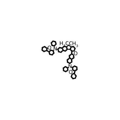 CC1(C)c2cc3cc(N(c4ccccc4)c4cccc5c4oc4ccccc45)ccc3cc2-c2c1ccc1oc3cc4cc(N(c5ccccc5)c5cccc6c5oc5ccccc56)ccc4cc3c21